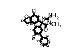 CN1C(=O)C(c2cc(Cl)c3c(c2)CCO3)(c2ccc(F)c(-c3cncnc3)c2)N=C1N